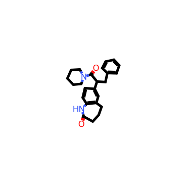 O=C1CCCc2cc(C(Cc3ccccc3)C(=O)N3CCCCC3)ccc2N1